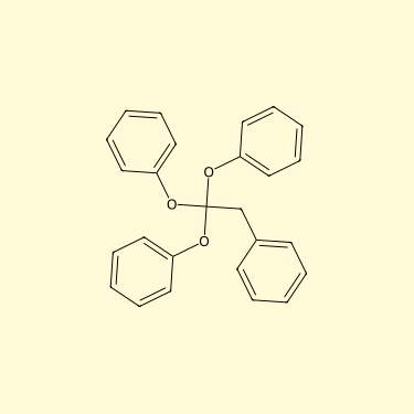 c1ccc(CC(Oc2ccccc2)(Oc2ccccc2)Oc2ccccc2)cc1